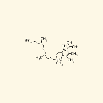 [CH]=C(O)c1c(C)c(C)c2c(c1C)CCC(C)(CCCC(C)CCCC(C)CCCC(C)C)O2